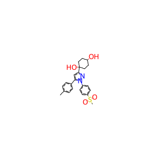 Cc1ccc(-c2cc(C3(O)CCC(O)CC3)nn2-c2ccc(S(C)(=O)=O)cc2)cc1